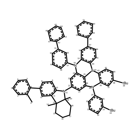 Cc1ccccc1-c1ccc2c(c1)C1(C)CCCCC1(C)N2c1cc2c3c(c1)N(c1cccc(C(C)(C)C)c1)c1cc(C(C)(C)C)ccc1B3c1ccc(-c3ccccc3)cc1N2c1cccc(-c2ccccc2)c1